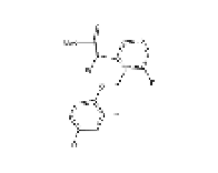 CCc1ccc(OCc2c(F)cccc2N(CC)C(=O)SC)c(C)c1